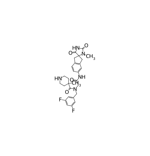 CN1C(=O)NC(=O)C12Cc1ccc(NC(=O)CN(Cc3cc(F)cc(F)c3)C(=O)C3(C)CCNCC3)cc1C2